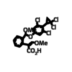 COC=C(C(=O)O)c1ccccc1C(OC)Oc1cc(Cl)c(C2CC2(Cl)Cl)c(Cl)c1